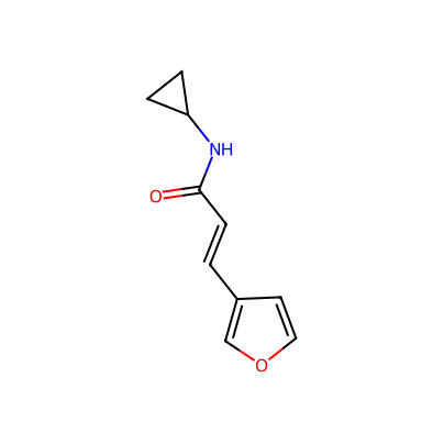 O=C(C=Cc1ccoc1)NC1CC1